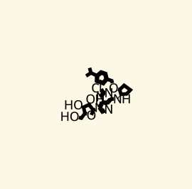 CC(C)c1ccc(COC2CCC[C@@H]2Nc2nc(Cl)nc3c2ncn3C2OC(CO)[C@@H](O)[C@H]2O)cc1